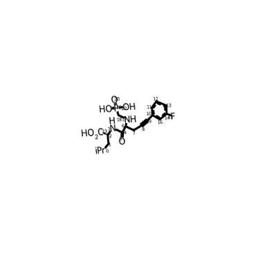 CC(C)C[C@H](NC(=O)C(CC#Cc1cccc(F)c1)NCP(=O)(O)O)C(=O)O